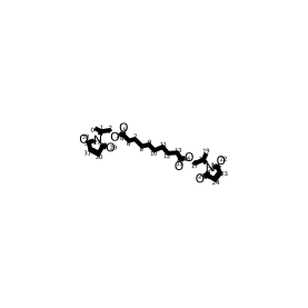 CC(COC(=O)CCCCCCCCC(=O)OCC(C)N1C(=O)C=CC1=O)N1C(=O)C=CC1=O